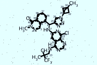 Cn1ncc2c([C@H](Nc3cc4c(NCC(C)(C)C(F)(F)F)ncnc4c(Cl)n3)c3cn(C45CC(C)(C4)C5)nn3)cccc2c1=O